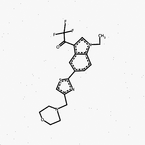 CCn1cc(C(=O)C(F)(F)F)c2cc(-c3nc(CN4CCOCC4)cs3)ccc21